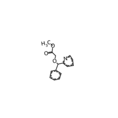 COC(=O)COC(c1ccccc1)c1ccccn1